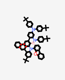 CC(C)(C)c1ccc(N2B3c4ccc5c(oc6ccccc65)c4N(c4ccc(C(C)(C)C)cc4-c4ccccc4)c4cc(-c5ccccc5)cc(c43)-c3ccc(N(c4ccc(C(C)(C)C)cc4)c4ccc(C(C)(C)C)cc4)cc32)cc1